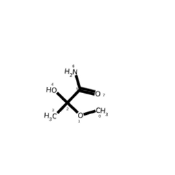 COC(C)(O)C(N)=O